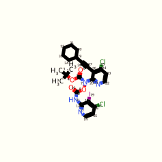 CC(C)(C)OC(=O)N(OC(=O)Nc1nccc(Cl)c1I)c1nccc(Cl)c1C#CC1CCCCC1